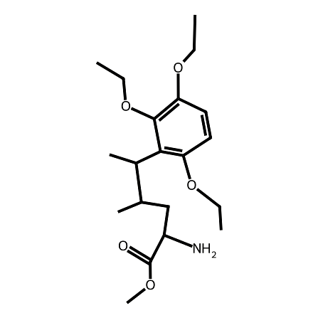 CCOc1ccc(OCC)c(C(C)C(C)CC(N)C(=O)OC)c1OCC